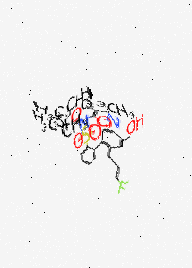 Cc1noc(N(COC(C)[Si](C)(C)C)S(=O)(=O)c2ccccc2-c2ccc(CO)cc2CCCF)c1C